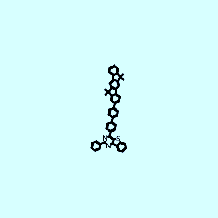 CC1(C)c2ccccc2-c2cc3c(cc21)-c1ccc(-c2ccc(-c4ccc(-c5nc(-c6ccccc6)nc6c5sc5ccccc56)cc4)cc2)cc1C3(C)C